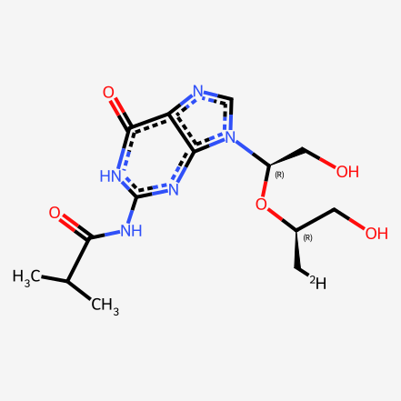 [2H]C[C@H](CO)O[C@H](CO)n1cnc2c(=O)[nH]c(NC(=O)C(C)C)nc21